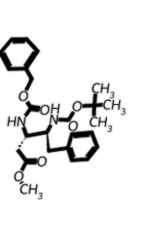 COC(=O)C[C@H](NC(=O)OCc1ccccc1)[C@H](Cc1ccccc1)NC(=O)OC(C)(C)C